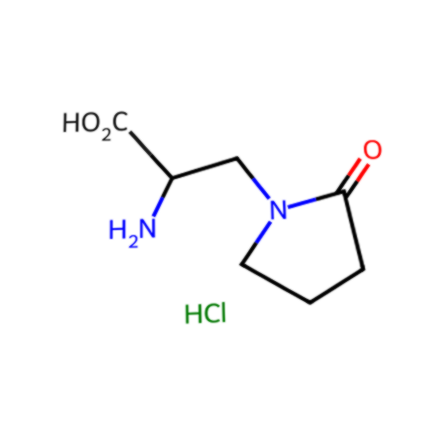 Cl.NC(CN1CCCC1=O)C(=O)O